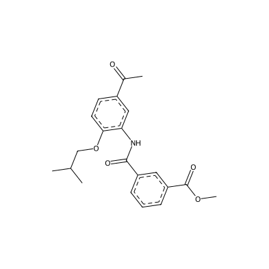 COC(=O)c1cccc(C(=O)Nc2cc(C(C)=O)ccc2OCC(C)C)c1